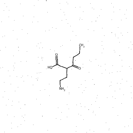 CCCC(=O)C(CCN)C(=O)O